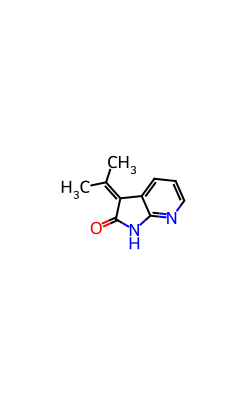 CC(C)=C1C(=O)Nc2ncccc21